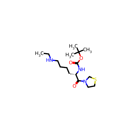 CCNCCCC[C@H](NC(=O)OC(C)(C)C)C(=O)N1CCSC1